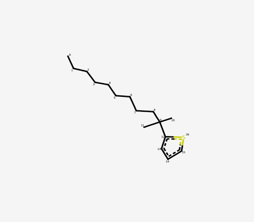 CCCCCCCCCC(C)(C)c1cccs1